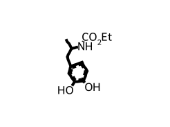 CCOC(=O)NC(C)Cc1ccc(O)c(O)c1